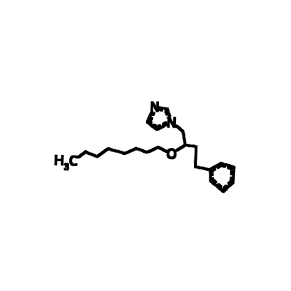 CCCCCCCCOC(CCc1ccccc1)Cn1ccnc1